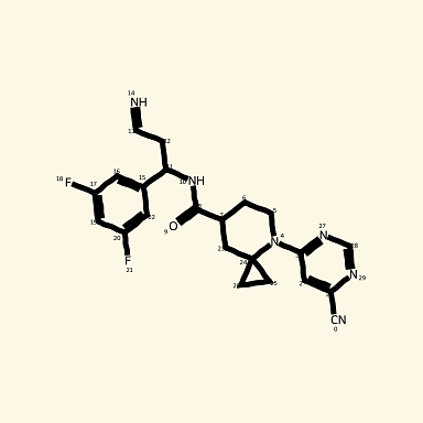 N#Cc1cc(N2CCC(C(=O)NC(CC=N)c3cc(F)cc(F)c3)CC23CC3)ncn1